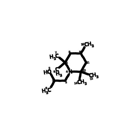 CC(O)CN1C(C)(C)CC(C)CC1(C)C